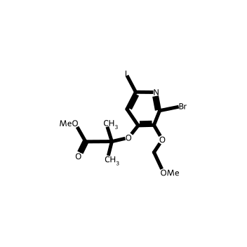 COCOc1c(OC(C)(C)C(=O)OC)cc(I)nc1Br